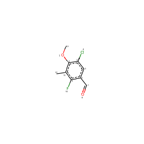 COc1c(Cl)cc(C=O)c(F)c1C